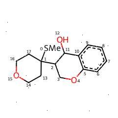 CSC1(C2COc3ccccc3C2O)CCOCC1